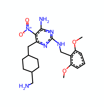 COc1cccc(OC)c1CNc1nc(N)c([N+](=O)[O-])c(CC2CCC(CN)CC2)n1